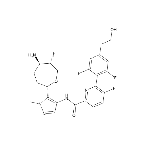 Cn1ncc(NC(=O)c2ccc(F)c(-c3c(F)cc(CCO)cc3F)n2)c1[C@@H]1CC[C@@H](N)[C@H](F)CO1